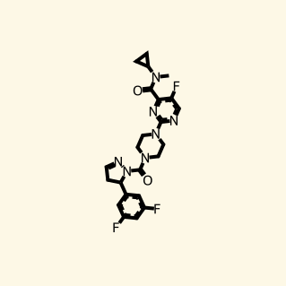 CN(C(=O)c1nc(N2CCN(C(=O)N3N=CCC3c3cc(F)cc(F)c3)CC2)ncc1F)C1CC1